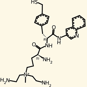 C[N+](CCN)(CCN)CCC[C@H](N)C(=O)N[C@H](Cc1ccc(CS)cc1)C(=O)Nc1cnc2ccccc2c1